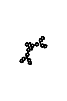 CC1(C)c2ccccc2N2c3ccc(-c4ccc(N(c5ccc6ccccc6c5)c5ccc6ccccc6c5)cc4)cc3C(C)(C)c3cc(-c4ccc(N(c5ccc6ccccc6c5)c5ccc6ccccc6c5)cc4)cc1c32